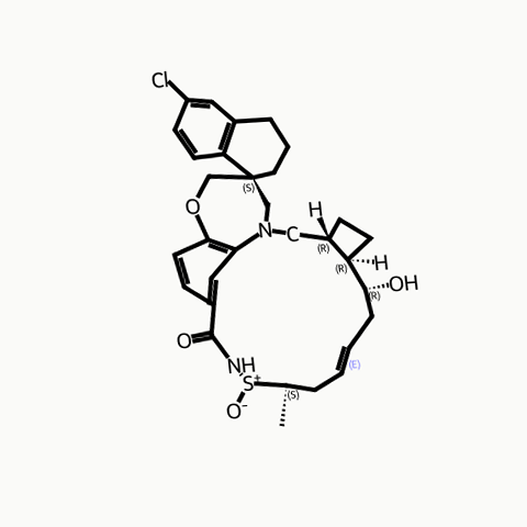 C[C@H]1C/C=C/C[C@@H](O)[C@@H]2CC[C@H]2CN2C[C@@]3(CCCc4cc(Cl)ccc43)COc3ccc(cc32)C(=O)N[S+]1[O-]